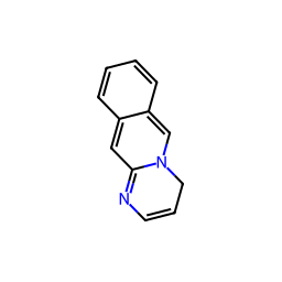 C1=CN=C2C=c3ccccc3=CN2C1